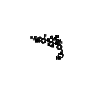 CCN(C)C(=O)c1c(Nc2ccc(CN3CCNCC3)cc2)ncnc1Oc1ccc2[nH]c(C)cc2c1F